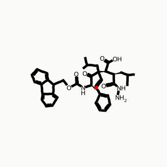 CC(C)C[C@@H](C(=O)NN)[C@H](C(=O)O)C(C=Cc1ccccc1)(CC(C)C)C(=O)[C@@H](C)NC(=O)OCC1c2ccccc2-c2ccccc21